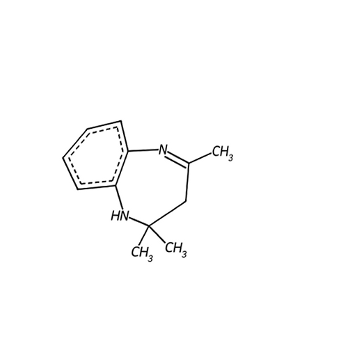 CC1=Nc2ccccc2NC(C)(C)C1